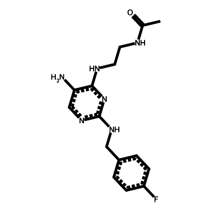 CC(=O)NCCNc1nc(NCc2ccc(F)cc2)ncc1N